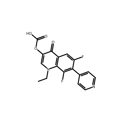 CCn1cc(OC(=O)O)c(=O)c2cc(F)c(-c3ccncc3)c(F)c21